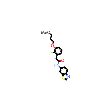 COCCCOc1cccc(CC(=O)Nc2ccc3ncsc3c2)c1F